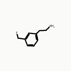 NCCc1cccc(CF)c1